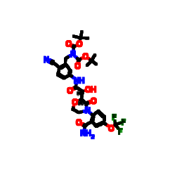 CC(C)(C)OC(=O)N(Cc1cc(NC(=O)[C@H](O)[C@H]2OCCN(c3ccc(OC(F)(F)F)cc3C(N)=O)C2=O)ccc1C#N)C(=O)OC(C)(C)C